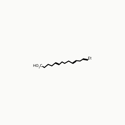 CCC=CCC=CCCCC=CCCCC(=O)O